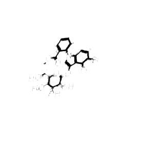 COC(=O)c1ccccc1-n1cc(O[C@H]2O[C@H](CO)[C@H](O)[C@H](O)[C@H]2O)c2c(Cl)c(Br)ccc21